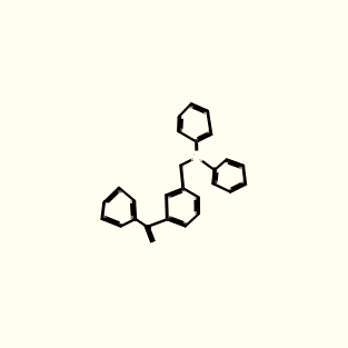 C=C(c1ccccc1)c1cccc(CN(c2ccccc2)c2ccccc2)c1